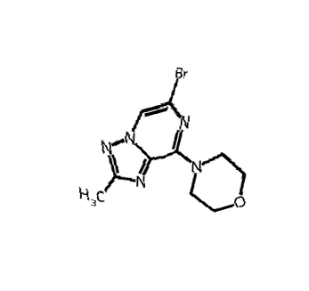 Cc1nc2c(N3CCOCC3)nc(Br)cn2n1